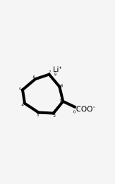 O=C([O-])C1CCCCCCC1.[Li+]